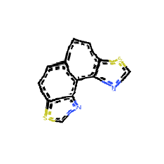 c1nc2c(ccc3ccc4scnc4c32)s1